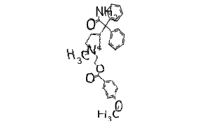 COc1ccc(C(=O)OCC[N+]2(C)CC[C@@H](C(C(N)=O)(c3ccccc3)c3ccccc3)C2)cc1